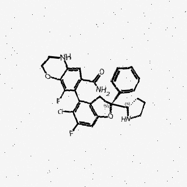 NC(=O)c1cc2c(c(F)c1-c1c(Cl)c(F)cc3c1C[C@](c1ccccc1)([C@@H]1CCCN1)O3)OCCN2